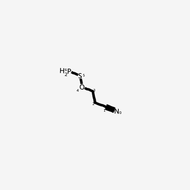 N#CCCOSP